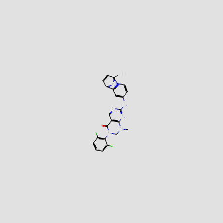 CN1CN(c2c(Cl)cccc2Cl)C(=O)c2cnc(Nc3ccc4c(c3)C3C=CC4(C=O)N3)nc21